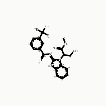 COC(=O)C(CO)n1c(=NC(=O)c2cccc(C(F)(F)F)c2)sc2ccccc21